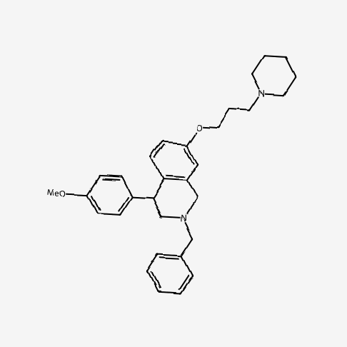 COc1ccc(C2CN(Cc3ccccc3)Cc3cc(OCCCN4CCCCC4)ccc32)cc1